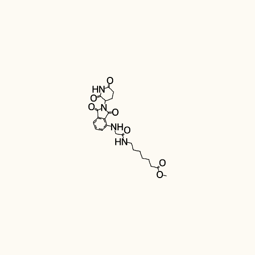 COC(=O)CCCCCCNC(=O)CNc1cccc2c1C(=O)N(C1CCC(=O)NC1=O)C2=O